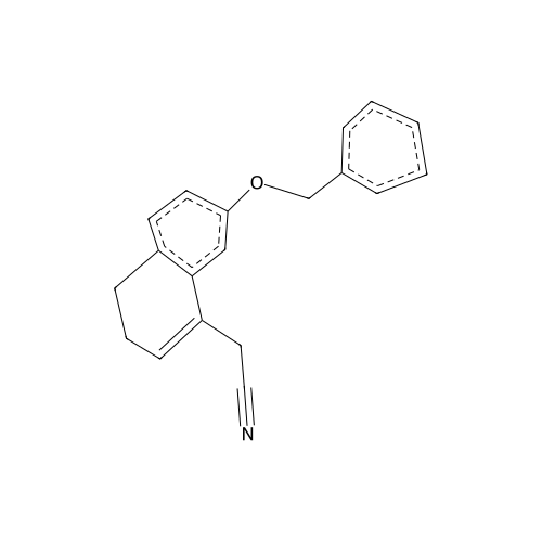 N#CCC1=CCCc2ccc(OCc3ccccc3)cc21